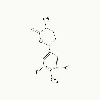 CCCC1CCC(c2cc(F)c(C(F)(F)F)c(Cl)c2)OC1=O